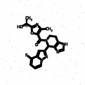 Cc1nc([C@H](C)O)oc1C(=O)N1CCc2[nH]cnc2C1c1cc2c(F)cccn2n1